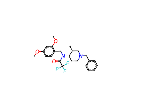 COc1ccc(CN(C(=O)C(F)(F)F)[C@H]2CCN(Cc3ccccc3)C[C@@H]2C)c(OC)c1